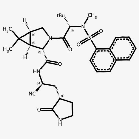 CN([C@H](C(=O)N1C[C@H]2[C@@H]([C@H]1C(=O)N[C@H](C#N)C[C@@H]1CCNC1=O)C2(C)C)C(C)(C)C)S(=O)(=O)c1cccc2ccccc12